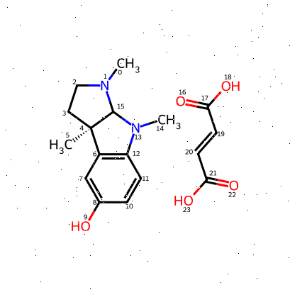 CN1CC[C@]2(C)c3cc(O)ccc3N(C)C12.O=C(O)/C=C/C(=O)O